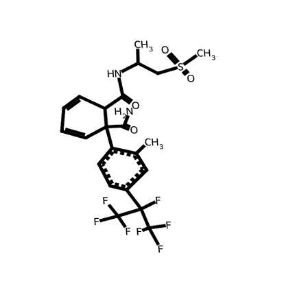 Cc1cc(C(F)(C(F)(F)F)C(F)(F)F)ccc1C1(C(N)=O)C=CC=CC1C(=O)NC(C)CS(C)(=O)=O